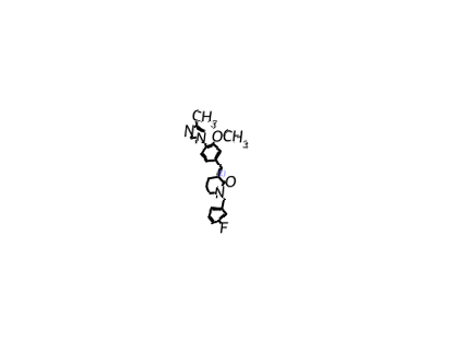 COc1cc(/C=C2\CCCN(Cc3cccc(F)c3)C2=O)ccc1-n1cnc(C)c1